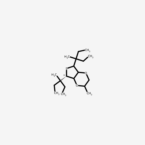 CCC(C)(CC)C1S[C@@H](C(C)(CC)CC)C2OC(C)COC21